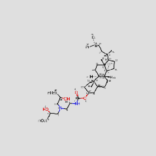 CCCCCCCCC(O)CN(CCNC(=O)O[C@H]1CC[C@@]2(C)C(=CC[C@H]3[C@@H]4CC[C@H]([C@H](C)CC[C@@H](CC)C(C)C)[C@@]4(C)CC[C@@H]32)C1)CC(O)CCCCCC